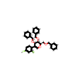 Fc1ccc(C2=CO[C@H](COCc3ccccc3)[C@H](OCc3ccccc3)[C@@H]2OCc2ccccc2)c(F)c1